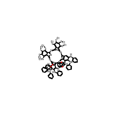 CCSc1c(SCC)c(SCC)c2c(c1SCC)-c1nc-2nc2c3c(Nc4ccccc4)c(Nc4ccccc4)c(Nc4ccccc4)c(Nc4ccccc4)c3c(nc3nc(nc4[nH]c(n1)c1c(SCC)c(SCC)c(SCC)c(SCC)c41)-c1cc(Nc4ccccc4)c(Nc4ccccc4)c(Nc4ccccc4)c1-3)n2Nc1ccccc1